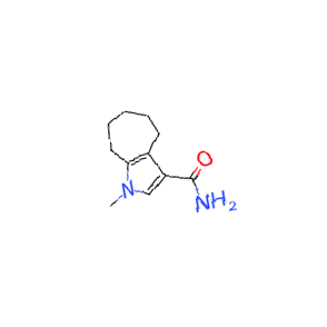 Cn1cc(C(N)=O)c2c1CCCCC2